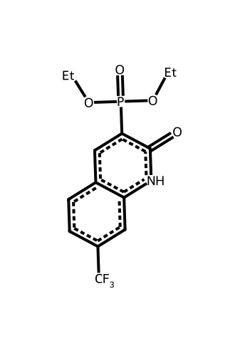 CCOP(=O)(OCC)c1cc2ccc(C(F)(F)F)cc2[nH]c1=O